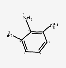 CCCCc1cccc(C(C)C)c1N